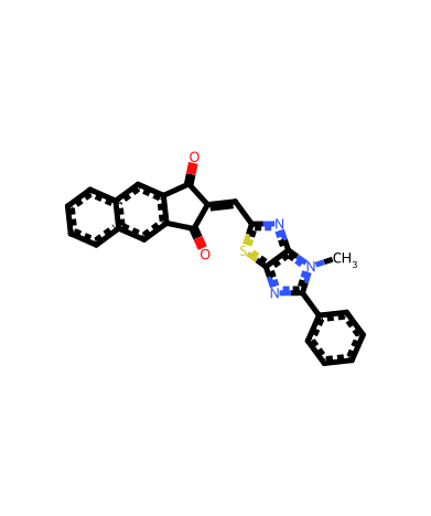 Cn1c(-c2ccccc2)nc2sc(C=C3C(=O)c4cc5ccccc5cc4C3=O)nc21